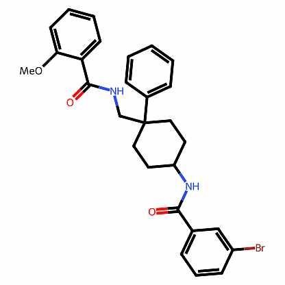 COc1ccccc1C(=O)NCC1(c2ccccc2)CCC(NC(=O)c2cccc(Br)c2)CC1